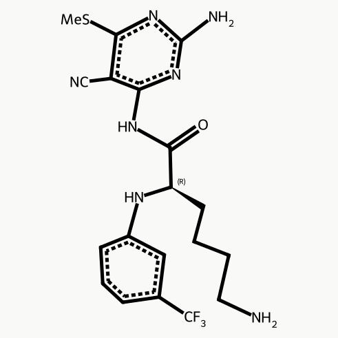 CSc1nc(N)nc(NC(=O)[C@@H](CCCCN)Nc2cccc(C(F)(F)F)c2)c1C#N